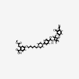 COC(=O)Cc1cc(OCCCCCN2CCN(c3ccc(C(=O)N[C@H]4C(C)(C)[C@H](Oc5ccc(C#N)c(Cl)c5)C4(C)C)cn3)CC2)ccc1C(=O)O